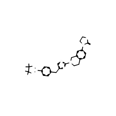 CC1(C)OB(c2ccc(Cc3cnc(N4CCc5ccc(N6CCOC6=O)cc5C4)s3)cc2)OC1(C)C